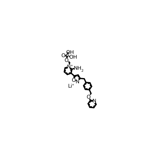 Nc1c(-c2cc(Cc3ccc(COc4ccccn4)cc3)no2)ccc[n+]1COP(=O)(O)O.[Li+]